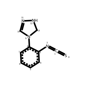 S=C=Nc1ccccc1N1C=NNC1